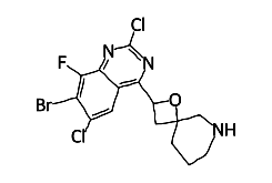 Fc1c(Br)c(Cl)cc2c(C3CC4(CCCNC4)O3)nc(Cl)nc12